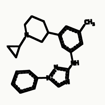 Cc1cc(Nc2ncn(-c3ccccc3)n2)cc(C2CCCN(C3CC3)C2)c1